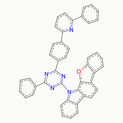 c1ccc(-c2cccc(-c3ccc(-c4nc(-c5ccccc5)nc(-n5c6ccccc6c6ccc7c8ccccc8oc7c65)n4)cc3)n2)cc1